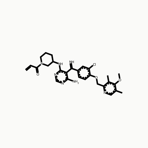 C=CC(=O)N1CCCC(Nc2ncnc(N)c2C(=N)c2ccc(OCc3ncc(C)c(OC)c3C)c(Cl)c2)C1